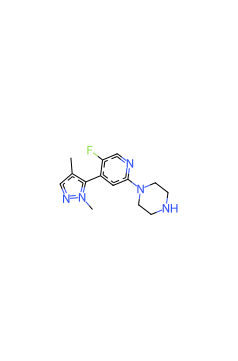 Cc1cnn(C)c1-c1cc(N2CCNCC2)ncc1F